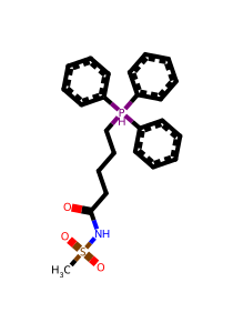 CS(=O)(=O)NC(=O)CCCC[PH](c1ccccc1)(c1ccccc1)c1ccccc1